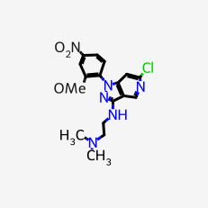 COc1cc([N+](=O)[O-])ccc1-n1nc(NCCN(C)C)c2cnc(Cl)cc21